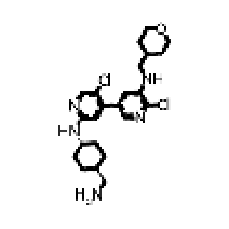 NC[C@H]1CC[C@H](Nc2cc(-c3cnc(Cl)c(NCC4CCOCC4)c3)c(Cl)cn2)CC1